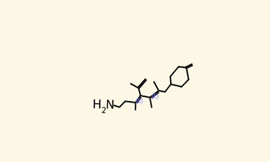 C=C1CCC(C/C(C)=C(C)/C(C(=C)C)=C(\C)CCN)CC1